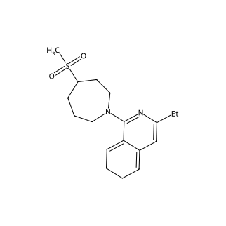 CCc1cc2c(c(N3CCCC(S(C)(=O)=O)CC3)n1)=CCCC=2